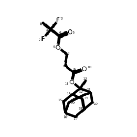 CC(F)(F)C(=O)OCCC(=O)OC1(C)C2CC3CC(C2)CC1C3